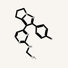 CCNc1nccc(-c2c(-c3ccc(F)cc3)nn3c2CCC3)n1